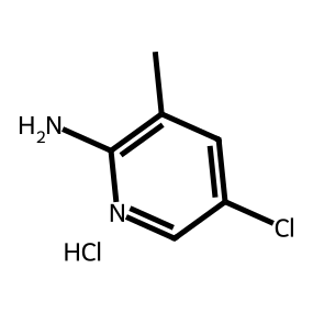 Cc1cc(Cl)cnc1N.Cl